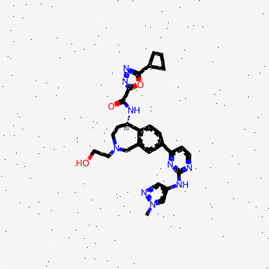 Cn1cc(Nc2nccc(-c3ccc4c(c3)CN(CCO)CC[C@@H]4NC(=O)c3nnc(C4CCC4)o3)n2)cn1